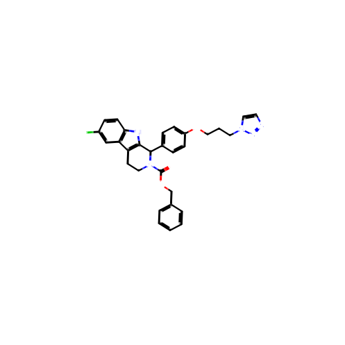 O=C(OCc1ccccc1)N1CCc2c([nH]c3ccc(Cl)cc23)C1c1ccc(OCCCn2ccnn2)cc1